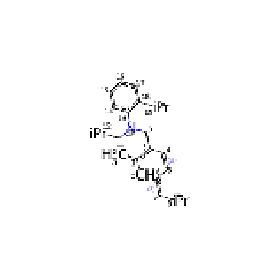 CC(C)=C(/C=C\C=C/C(C)C)CN(CC(C)C)c1ccccc1C(C)C